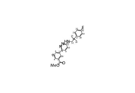 COC(=O)c1cncc(-c2ccc(NCC(C)(C)c3ccc(F)cc3)nn2)c1